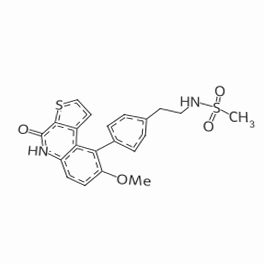 COc1ccc2[nH]c(=O)c3sccc3c2c1-c1ccc(CCNS(C)(=O)=O)cc1